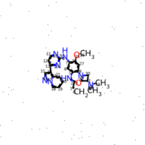 C=CC(=O)Nc1cc(Nc2nccc(-c3cnn4ccccc34)n2)c(OC)cc1N1CC(N(C)C)C1